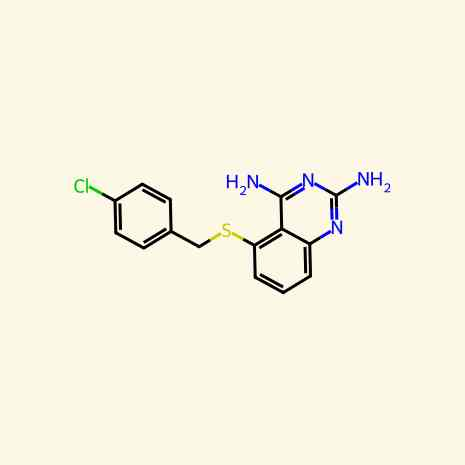 Nc1nc(N)c2c(SCc3ccc(Cl)cc3)cccc2n1